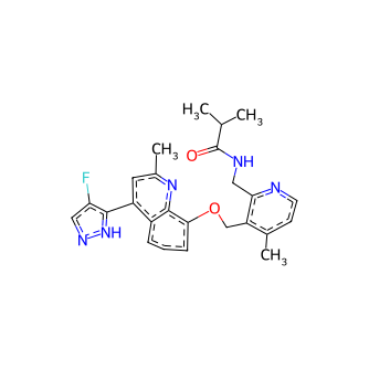 Cc1cc(-c2[nH]ncc2F)c2cccc(OCc3c(C)ccnc3CNC(=O)C(C)C)c2n1